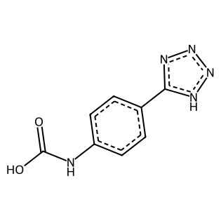 O=C(O)Nc1ccc(-c2nnn[nH]2)cc1